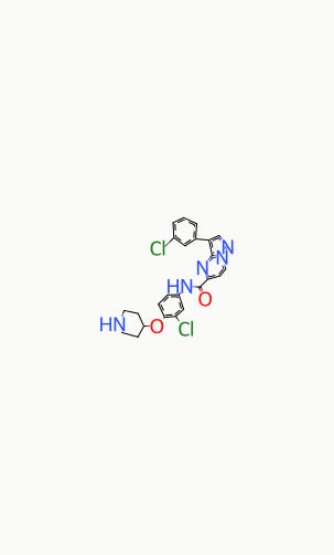 O=C(Nc1ccc(OC2CCNCC2)c(Cl)c1)c1ccn2ncc(-c3cccc(Cl)c3)c2n1